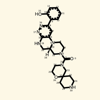 O=C(N1CCN2c3cc(-c4ccccc4O)nnc3NC[C@H]2C1)N1CCOC2(CCNCC2)C1